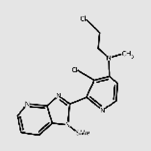 CSn1c(-c2nccc(N(C)CCCl)c2Cl)nc2ncccc21